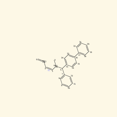 C=N/C=C\N(C)C(c1ccccc1)c1ccc(-c2ccccc2)cc1